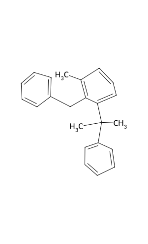 Cc1cccc(C(C)(C)c2ccccc2)c1Cc1ccccc1